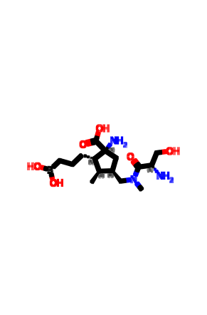 C[C@@H]1[C@H](CN(C)C(=O)[C@@H](N)CO)C[C@@](N)(C(=O)O)[C@H]1CCCB(O)O